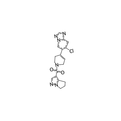 O=S(=O)(c1cnn2c1CCC2)N1CC=C(c2cn3ncnc3cc2Cl)CC1